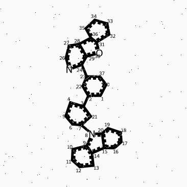 c1cc(-c2cccc(-n3c4ccccc4c4ccccc43)c2)cc(-c2nccc3c2oc2ccccc23)c1